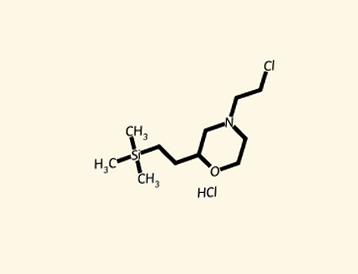 C[Si](C)(C)CCC1CN(CCCl)CCO1.Cl